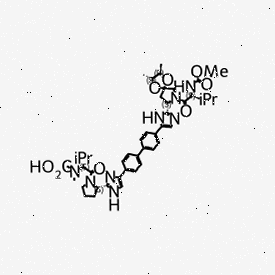 COC(=O)N[C@H](C(=O)N1CC2(C[C@H]1c1ncc(-c3ccc(-c4ccc(-c5c[nH]c([C@@H]6CCCN6C(=O)[C@H](C(C)C)N(C)C(=O)O)n5)cc4)cc3)[nH]1)O[C@H](C)[C@@H](C)O2)C(C)C